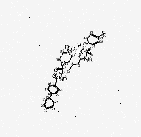 CC1([C@@H]2CC2(C)NCCCC[C@H](NC(=O)c2ccc(-c3ccccc3)cc2)C(=O)N2CCS(=O)(=O)CC2)C=CC(F)=CC1